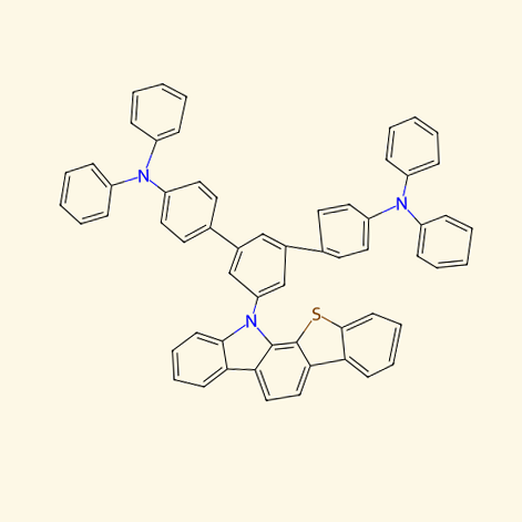 c1ccc(N(c2ccccc2)c2ccc(-c3cc(-c4ccc(N(c5ccccc5)c5ccccc5)cc4)cc(-n4c5ccccc5c5ccc6c7ccccc7sc6c54)c3)cc2)cc1